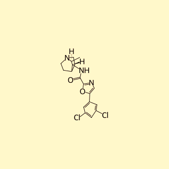 C[C@H]1[C@H](NC(=O)c2ncc(-c3cc(Cl)cc(Cl)c3)o2)C2CCN1CC2